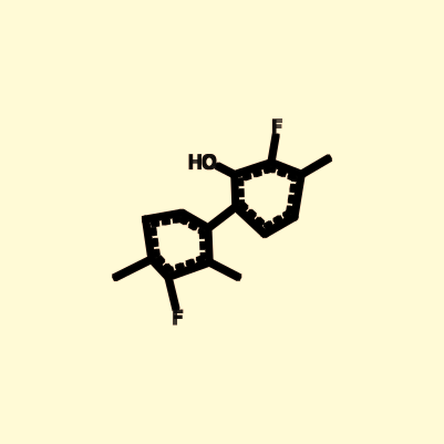 Cc1ccc(-c2ccc(C)c(F)c2O)c(C)c1F